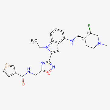 CN1CC[C@@H](CNc2cccc3c2cc(-c2noc(CNC(=O)c4ccsc4)n2)n3CC(F)(F)F)[C@@H](F)C1